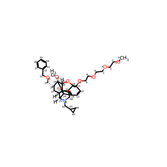 COCCOCCOCCOc1ccc2c3c1O[C@H]1[C@@]4(OC)CCC2[C@@H]2[C@@H](C[C@@H]4COCc4ccccc4)[C@@]31CCN2CC1CC1